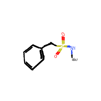 [CH2]CC(C)NS(=O)(=O)Cc1ccccc1